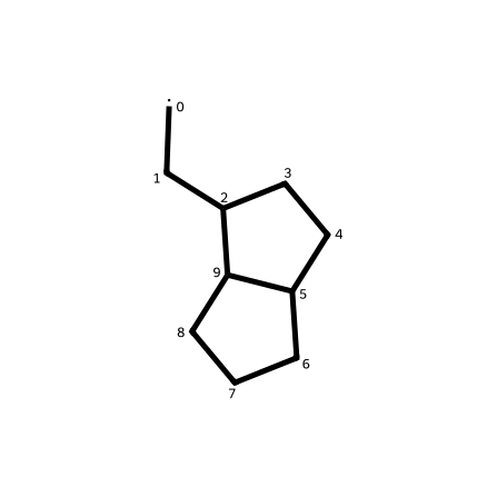 [CH2]CC1CCC2CCCC12